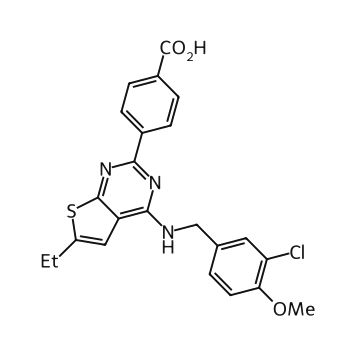 CCc1cc2c(NCc3ccc(OC)c(Cl)c3)nc(-c3ccc(C(=O)O)cc3)nc2s1